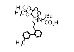 Cc1cccc(-c2ccccc2CCC[C@@H](C(=O)N[C@H](C(=O)O)C(C)(C)C)[C@@H]2OC(C)(C)OC2=O)c1